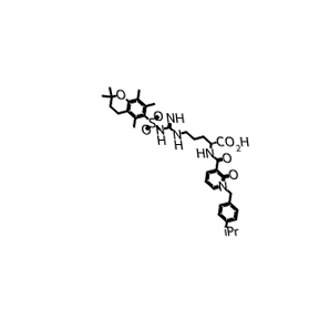 Cc1c(C)c(S(=O)(=O)NC(=N)NCCC[C@H](NC(=O)c2cccn(Cc3ccc(C(C)C)cc3)c2=O)C(=O)O)c(C)c2c1OC(C)(C)CC2